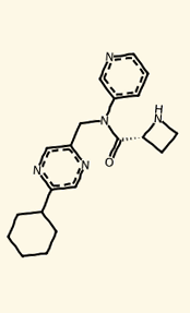 O=C([C@H]1CCN1)N(Cc1cnc(C2CCCCC2)cn1)c1cccnc1